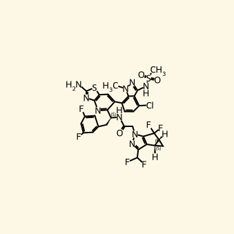 Cn1nc(NS(C)(=O)=O)c2c(Cl)ccc(-c3cc4sc(N)nc4nc3[C@H](Cc3cc(F)cc(F)c3)NC(=O)Cn3nc(C(F)F)c4c3C(F)(F)[C@@H]3C[C@H]43)c21